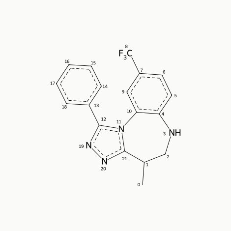 CC1CNc2ccc(C(F)(F)F)cc2-n2c(-c3ccccc3)nnc21